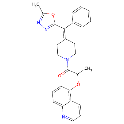 Cc1nnc(C(=C2CCN(C(=O)C(C)Oc3cccc4ncccc34)CC2)c2ccccc2)o1